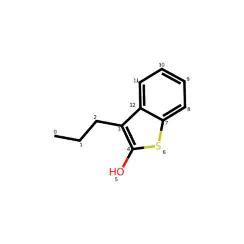 CCCc1c(O)sc2ccccc12